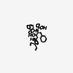 CCC(CC)ONC[C@@H](O)[C@H](CC1CCCCC1)N(C(=O)O)c1coc2occc12